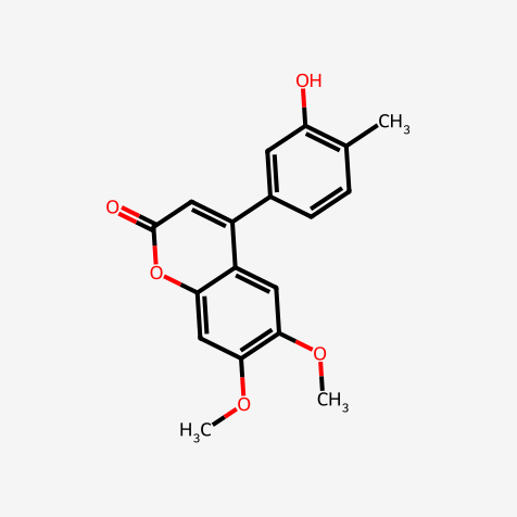 COc1cc2oc(=O)cc(-c3ccc(C)c(O)c3)c2cc1OC